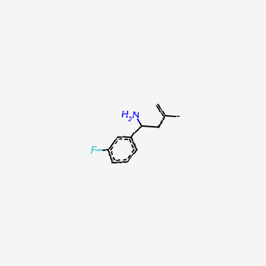 C=C(C)CC(N)c1cccc(F)c1